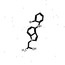 CC(O)Cn1ccc2c(Nc3ccccc3Br)cccc21